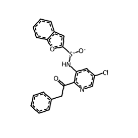 O=C(Cc1ccccc1)c1ncc(Cl)cc1N[S+]([O-])c1cc2ccccc2o1